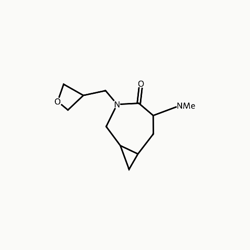 CNC1CC2CC2CN(CC2COC2)C1=O